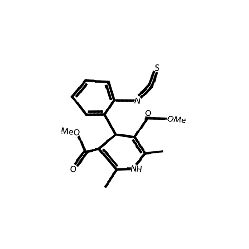 COC(=O)C1=C(C)NC(C)=C(C(=O)OC)C1c1ccccc1N=C=S